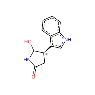 O=C1C[C@H](c2c[nH]c3ccccc23)C(O)N1